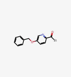 CCC(=O)c1ccc(OCc2ccccc2)cn1